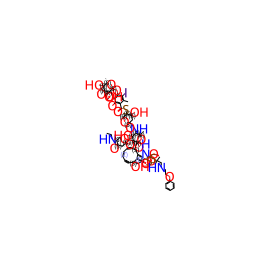 CCN[C@H]1CO[C@@H](O[C@H]2[C@H](O[C@H]3C#C/C=C\C#C[C@]4(O)CC(=O)C(NC(=O)OC)=C3/C4=C\CSSC(C)(C)CNCCOc3ccccc3)O[C@H](C)[C@@H](NO[C@H]3C[C@H](O)[C@H](SC(=O)c4c(C)c(I)c(O[C@@H]5O[C@@H](C)[C@H](O)[C@@H](OC)[C@H]5O)c(OC)c4OC)[C@@H](C)O3)[C@@H]2O)C[C@@H]1OC